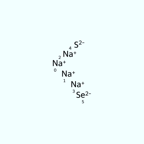 [Na+].[Na+].[Na+].[Na+].[S-2].[Se-2]